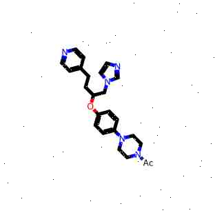 CC(=O)N1CCN(c2ccc(OC(CCc3ccncc3)Cn3ccnc3)cc2)CC1